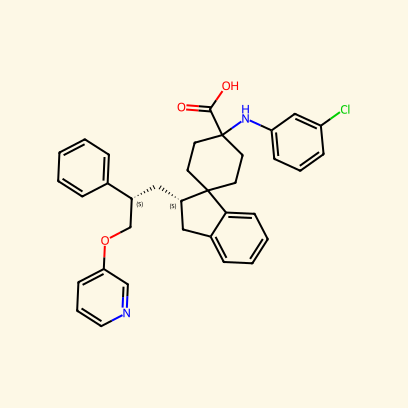 O=C(O)C1(Nc2cccc(Cl)c2)CCC2(CC1)c1ccccc1C[C@@H]2C[C@H](COc1cccnc1)c1ccccc1